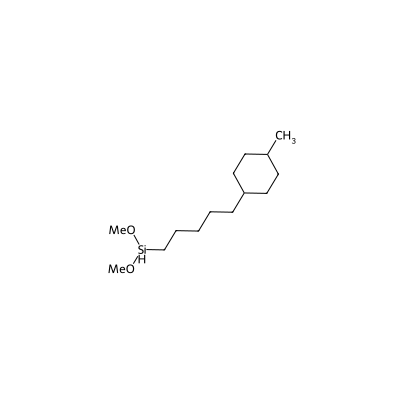 CO[SiH](CCCCCC1CCC(C)CC1)OC